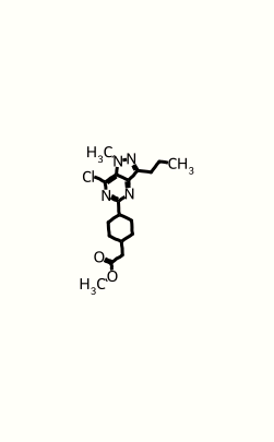 CCCc1nn(C)c2c(Cl)nc(C3CCC(CC(=O)OC)CC3)nc12